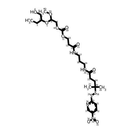 CCC(CO)OC(COC(=O)OCCC(=O)NCCCNC(=O)CCC(C)(C)SSc1ccc([N+](=O)[O-])cn1)OC